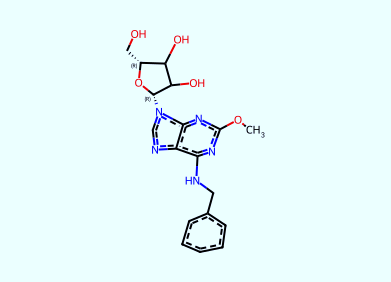 COc1nc(NCc2ccccc2)c2ncn([C@@H]3O[C@H](CO)C(O)C3O)c2n1